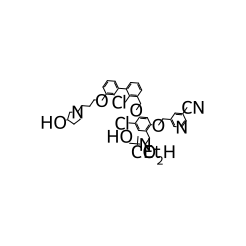 CCN(Cc1cc(Cl)c(OCc2cccc(-c3cccc(OCCCN4CCC(O)C4)c3Cl)c2C)cc1OCc1cncc(C#N)c1)C(C)(CO)C(=O)O